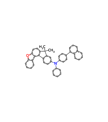 CC1(C)c2cc(N(c3ccccc3)c3ccc(-c4cccc5ccccc45)cc3)ccc2-c2c1ccc1oc3ccccc3c21